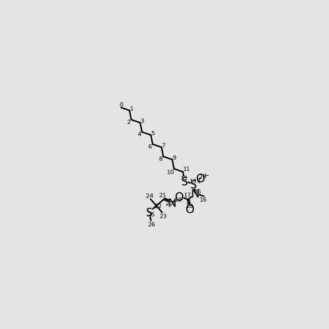 CCCCCCCCCCCCS[S+]([O-])N(C)C(=O)ON=CC(C)(C)SC